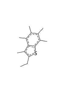 CCc1sc2c(C)c(C)c(C)c(C)c2c1C